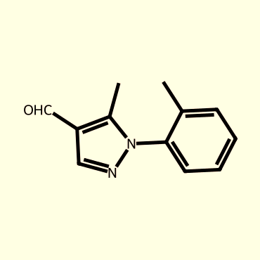 Cc1ccccc1-n1ncc(C=O)c1C